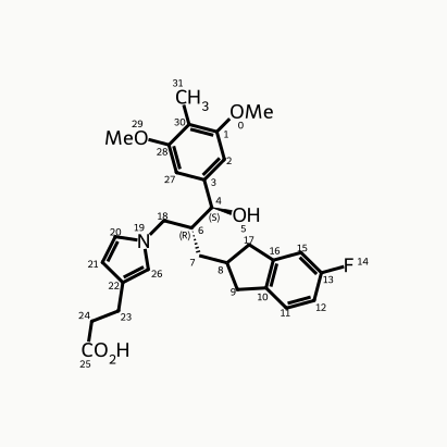 COc1cc([C@@H](O)[C@H](CC2Cc3ccc(F)cc3C2)Cn2ccc(CCC(=O)O)c2)cc(OC)c1C